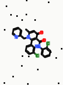 Cc1cc(=O)c(C(=O)Nc2ccccc2Cl)c(-c2cccc(Cl)c2)n1Cc1ccccn1